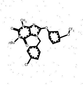 CCCCn1c(=O)c2c(nc(Oc3cccc(OC(F)(F)F)c3)n2Cc2ccc(Cl)cc2)n(C)c1=O